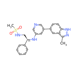 Cc1n[nH]c2ccc(-c3cncc(N[C@H](CNS(C)(=O)=O)c4ccccc4)c3)cc12